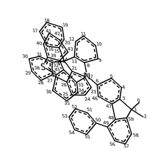 CC1(C)c2ccc(N(c3ccccc3C3(c4ccccc4)c4ccccc4-c4ccccc43)c3cccc4sc5ccccc5c34)cc2-c2c(-c3ccccc3)cccc21